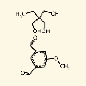 CCC(CO)(CO)CO.COc1cc(C=O)cc(C=O)c1